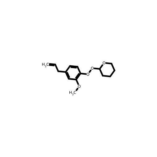 C=CCc1ccc(OOC2CCCCO2)c(OC)c1